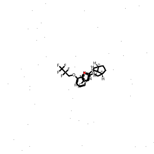 Cc1cc(N2C[C@H]3CC[C@@H](C2)[C@@H]3Nc2nc3c(OCC(F)(F)C(F)(F)F)cccn3n2)sn1